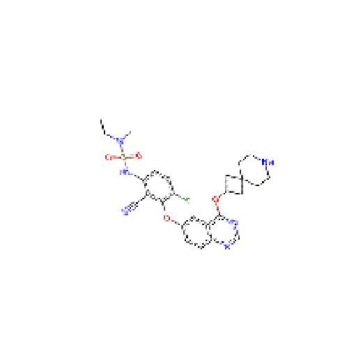 CCN(C)S(=O)(=O)Nc1ccc(F)c(Oc2ccc3ncnc(OC4CC5(CCNCC5)C4)c3c2)c1C#N